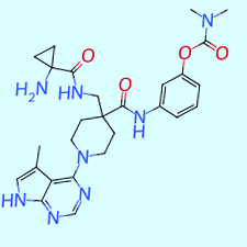 Cc1c[nH]c2ncnc(N3CCC(CNC(=O)C4(N)CC4)(C(=O)Nc4cccc(OC(=O)N(C)C)c4)CC3)c12